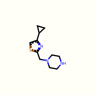 c1sc(CN2CCNCC2)nc1C1CC1